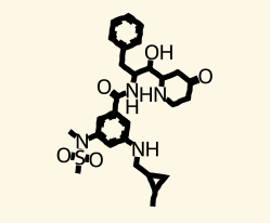 CC1CC1CNc1cc(C(=O)NC(Cc2ccccc2)C(O)C2CC(=O)CCN2)cc(N(C)S(C)(=O)=O)c1